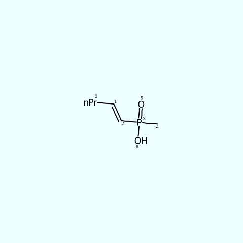 CCCC=CP(C)(=O)O